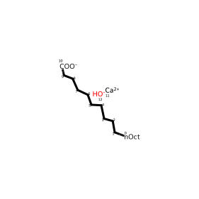 CCCCCCCCCCCCCCCCCC(=O)[O-].[Ca+2].[OH-]